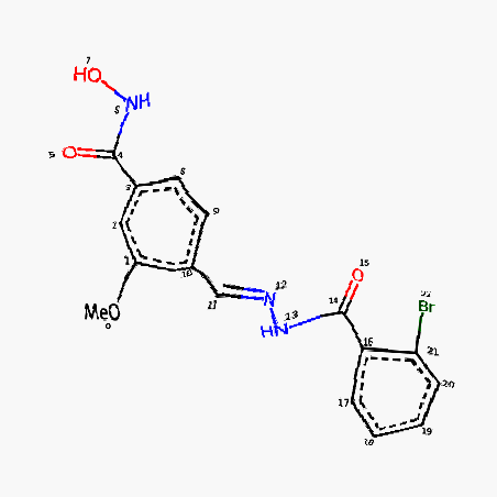 COc1cc(C(=O)NO)ccc1/C=N/NC(=O)c1ccccc1Br